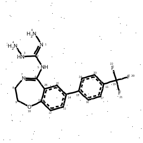 N/N=C(\NN)NC1=NCCOc2ccc(-c3ccc(C(F)(F)F)cc3)cc21